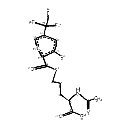 CC(=O)N[C@H](CCCSC(=O)c1ccc(C(F)(F)F)cc1O)C(=O)O